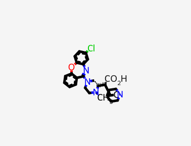 CN1CCN(C2=Nc3cc(Cl)ccc3Oc3ccccc32)C[C@@H]1[C@@H](C(=O)O)C1CN2CCC1CC2